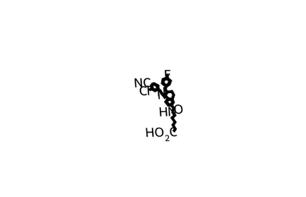 N#Cc1ccc(N2N=C3c4ccc(C(=O)NCCCCCC(=O)O)cc4CCC3C2c2ccc(F)cc2)cc1Cl